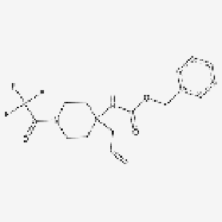 C=CCC1(NC(=O)OCc2ccccc2)CCN(C(=O)C(F)(F)F)CC1